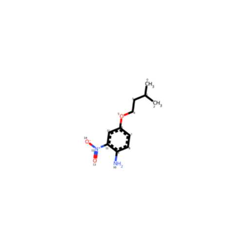 CC(C)CCOc1ccc(N)c([N+](=O)[O-])c1